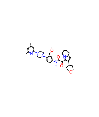 COCc1cc(NC(=O)C(=O)c2c(C3CCOCC3)cc3ccccn23)ccc1N1CCN(c2cc(C)cc(C)n2)CC1